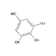 O=Nc1cc(O)cc(N=O)c1O